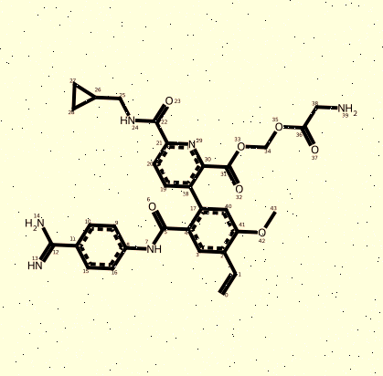 C=Cc1cc(C(=O)Nc2ccc(C(=N)N)cc2)c(-c2ccc(C(=O)NCC3CC3)nc2C(=O)OCOC(=O)CN)cc1OC